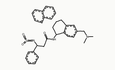 CN(C)Cc1ccc2c(c1)CCCC2NC(=O)CC(N=S(=O)=O)c1ccccc1.c1ccc2ccccc2c1